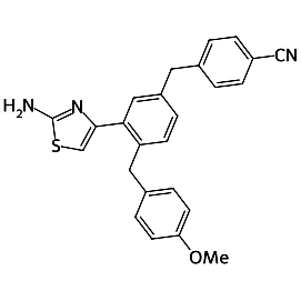 COc1ccc(Cc2ccc(Cc3ccc(C#N)cc3)cc2-c2csc(N)n2)cc1